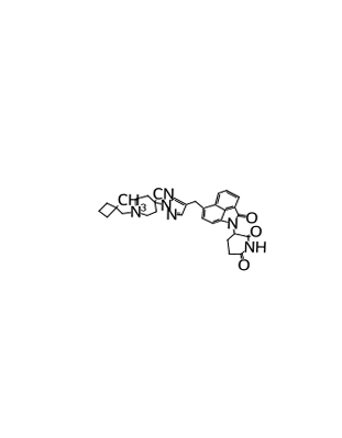 CC1(CN2CCC(C#N)(n3cc(Cc4ccc5c6c(cccc46)C(=O)N5C4CCC(=O)NC4=O)cn3)CC2)CCC1